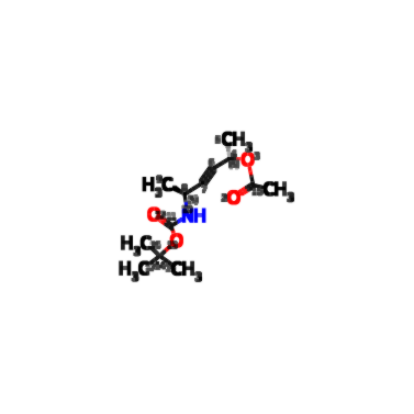 CC(=O)O[C@@H](C)C#C[C@H](C)NC(=O)OC(C)(C)C